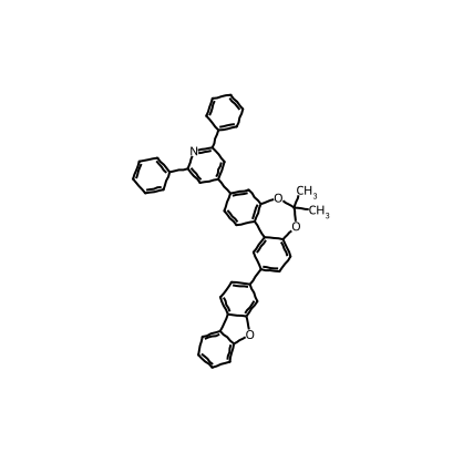 CC1(C)Oc2cc(-c3cc(-c4ccccc4)nc(-c4ccccc4)c3)ccc2-c2cc(-c3ccc4c(c3)oc3ccccc34)ccc2O1